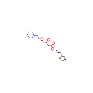 O=C(COCCN1CCCCC1)CC(=O)OCCCc1cccs1